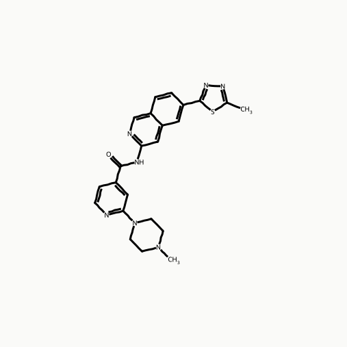 Cc1nnc(-c2ccc3cnc(NC(=O)c4ccnc(N5CCN(C)CC5)c4)cc3c2)s1